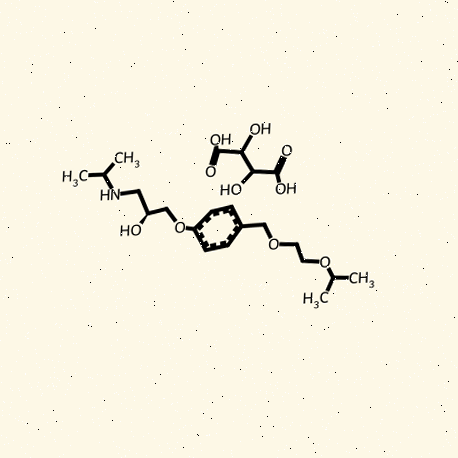 CC(C)NC[C@H](O)COc1ccc(COCCOC(C)C)cc1.O=C(O)C(O)C(O)C(=O)O